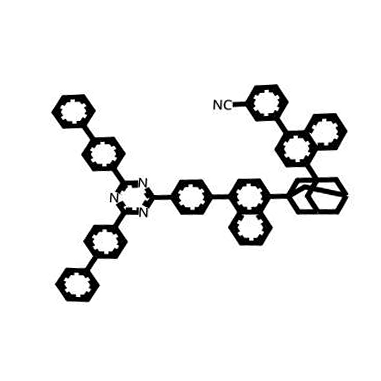 N#Cc1cccc(-c2ccc(C34CC5CC(CC(c6ccc(-c7ccc(-c8nc(-c9ccc(-c%10ccccc%10)cc9)nc(-c9ccc(-c%10ccccc%10)cc9)n8)cc7)c7ccccc67)(C5)C3)C4)c3ccccc23)c1